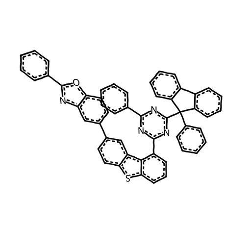 c1ccc(-c2nc(-c3cccc4sc5ccc(-c6ccc7oc(-c8ccccc8)nc7c6)cc5c34)nc(C3(c4ccccc4)c4ccccc4-c4ccccc43)n2)cc1